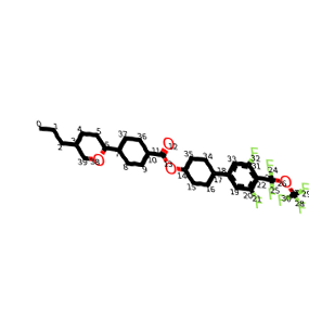 CCCC1CCC(C2CCC(C(=O)OC3CCC(c4cc(F)c(C(F)(F)OC(F)(F)F)c(F)c4)CC3)CC2)OC1